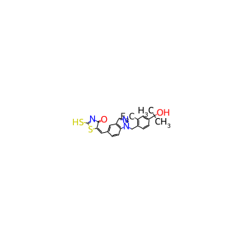 CC(C)(O)c1ccc(Cn2ncc3cc(C=C4SC(S)=NC4=O)ccc32)c(C(F)(F)F)c1